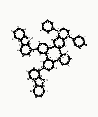 c1ccc(-n2ccn(-c3ccccc3)c3cc4c(cc32)c2ccc(-c3cccc5c3sc3ccccc35)cc2c2cc(-c3cccc5c3sc3ccccc35)ccc2c2cccnc24)cc1